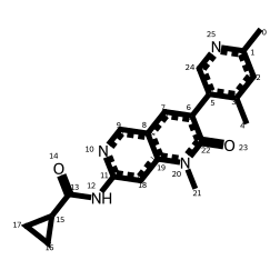 Cc1cc(C)c(-c2cc3cnc(NC(=O)C4CC4)cc3n(C)c2=O)cn1